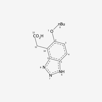 CCCCOc1ccc2[nH]nnc2c1CC(=O)O